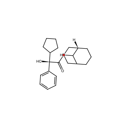 O=C(OC1C2CCC[C@H]1CNC2)[C@](O)(c1ccccc1)C1CCCC1